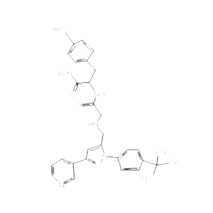 CC(C)(C)c1ccc(-n2nc(-c3cccnc3)cc2CNCC(=O)NC(Cc2ccc(O)cc2)C(N)=O)cc1